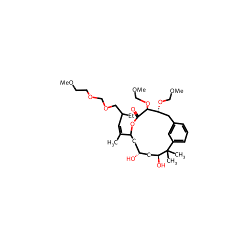 CCC(/C=C(/C)C1C[C@@H](O)C[C@H](O)C(C)(C)c2cccc(c2)C[C@@H](OCOC)[C@H](OCOC)C(=O)O1)COCOCCOC